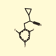 N#CC(Cc1c(F)cc(F)cc1F)C1CC1